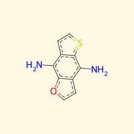 Nc1c2ccsc2c(N)c2ccoc12